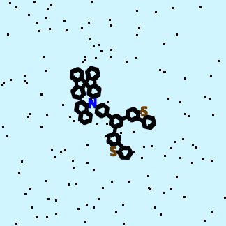 c1ccc2c(c1)-c1ccccc1C21c2ccccc2-c2ccc(N(c3ccc(-c4cc(-c5ccc6sc7ccccc7c6c5)cc(-c5ccc6sc7ccccc7c6c5)c4)cc3)c3cccc4ccccc34)cc21